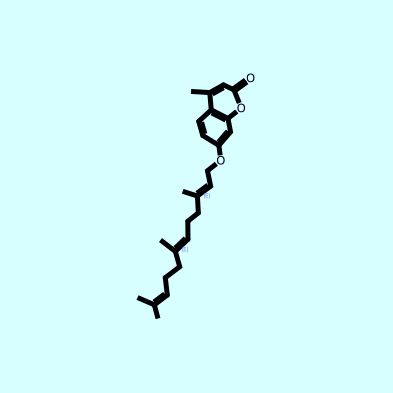 CC(C)=CCC/C(C)=C/CC/C(C)=C/COc1ccc2c(C)cc(=O)oc2c1